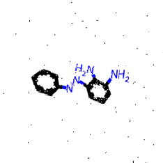 Nc1cccc(/N=N/c2ccccc2)c1N